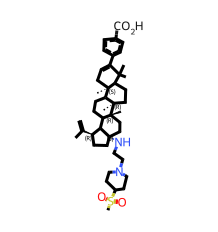 C=C(C)[C@@H]1CC[C@]2(NCCN3CCC(S(C)(=O)=O)CC3)CC[C@]3(C)C(CCC4[C@@]5(C)CC=C(c6ccc(C(=O)O)cc6)C(C)(C)C5CC[C@]43C)C12